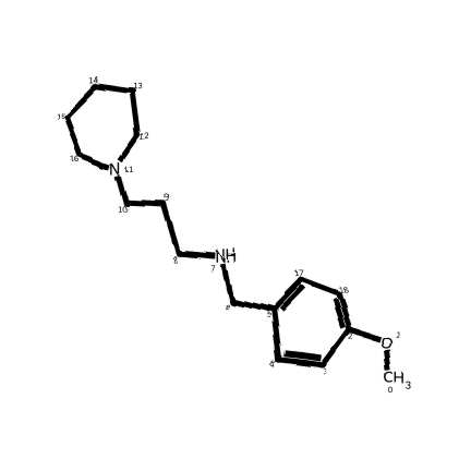 COc1ccc(CNCCCN2CCCCC2)cc1